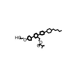 C=C(C)C(=O)OCCc1cc(-c2ccc(OCCO)cc2)ccc1-c1ccc(C2CCC(CCCCC)CC2)cc1